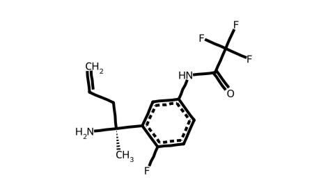 C=CC[C@](C)(N)c1cc(NC(=O)C(F)(F)F)ccc1F